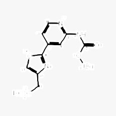 CC(C)(C)OC(=O)Nc1cc(-c2nc(CC(=O)O)co2)ccn1